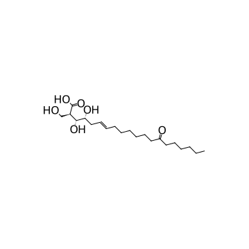 CCCCCCC(=O)CCCCCC/C=C/C[C@@H](O)[C@H](O)[C@@H](CO)C(=O)O